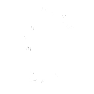 COc1c(CCNc2cc(-c3ccc(C(=O)O)c(SC)c3)ncn2)cc2ccsc2c1F